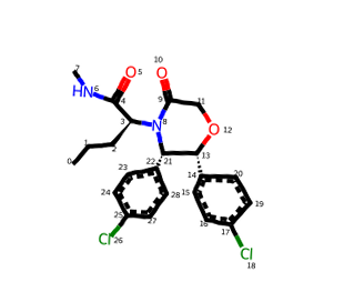 CCC[C@@H](C(=O)NC)N1C(=O)CO[C@H](c2ccc(Cl)cc2)[C@@H]1c1ccc(Cl)cc1